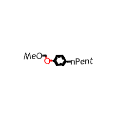 [CH2]CCCCc1ccc(OCOC)cc1